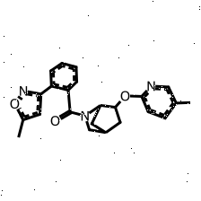 Cc1ccc(OC2CC3CC2N(C(=O)c2ccccc2-c2cc(C)on2)C3)nc1